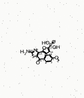 COc1ccc(C(=O)c2sc(N)nc2-c2ccc(P(=O)(O)O)o2)cc1